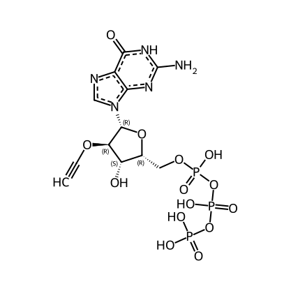 C#CO[C@@H]1[C@@H](O)[C@@H](COP(=O)(O)OP(=O)(O)OP(=O)(O)O)O[C@H]1n1cnc2c(=O)[nH]c(N)nc21